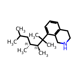 CC(C)C[C@@H](C)[C@H](C)C(C)(C)c1cccc2c1CNCC2